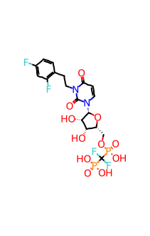 O=c1ccn([C@@H]2O[C@H](COP(=O)(O)C(F)(F)P(=O)(O)O)[C@H](O)[C@@H]2O)c(=O)n1CCc1ccc(F)cc1F